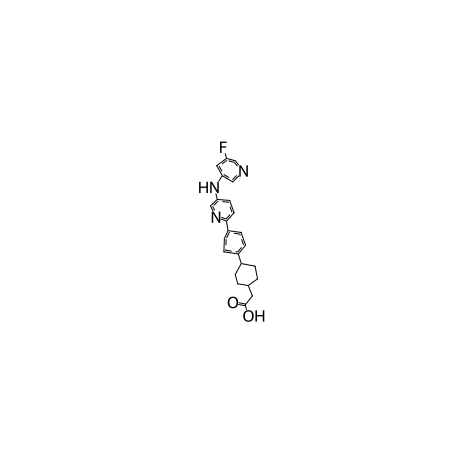 O=C(O)CC1CCC(c2ccc(-c3ccc(Nc4cncc(F)c4)cn3)cc2)CC1